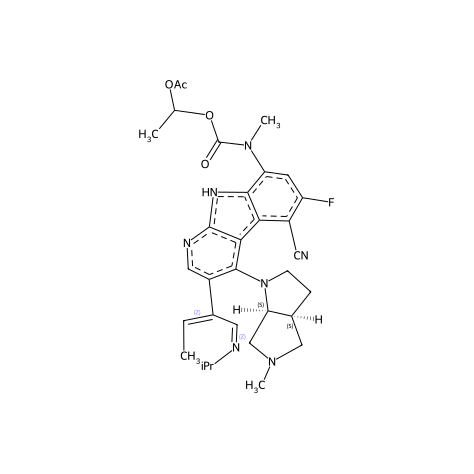 C/C=C(\C=N/C(C)C)c1cnc2[nH]c3c(N(C)C(=O)OC(C)OC(C)=O)cc(F)c(C#N)c3c2c1N1CC[C@H]2CN(C)C[C@H]21